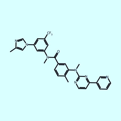 Cc1cn(-c2cc(N(C)C(=O)c3ccc(C)c(N(C)c4nccc(-c5cccnc5)n4)c3)cc(C(F)(F)F)c2)cn1